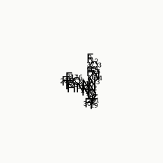 Fc1ccc(CN2CCN(c3nc(Nc4cccc(C(F)(F)F)c4)nc(OCC(F)(F)F)n3)CC2)c(F)c1